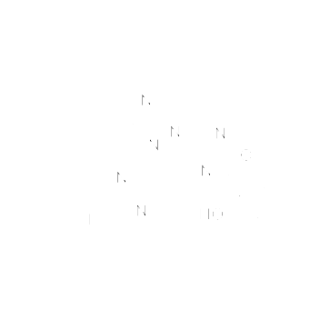 OC1(c2nc(N3CN=C4c5ccccc5-n5c(cnc5F)N43)no2)CC1